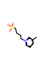 Cc1ccc[n+](CCCCS(=O)(=O)[O-])c1